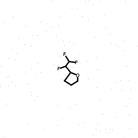 FC(F)C(F)C1CCCO1